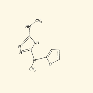 CNc1nnc(N(C)c2ccco2)[nH]1